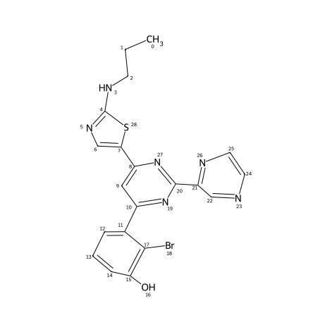 CCCNc1ncc(-c2cc(-c3cccc(O)c3Br)nc(-c3cnccn3)n2)s1